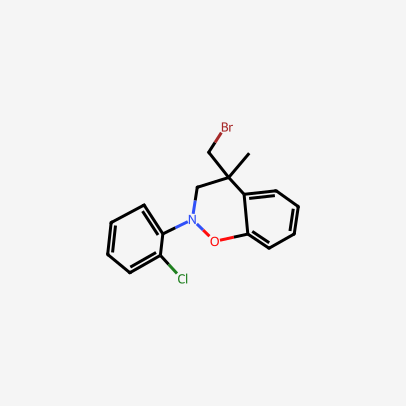 CC1(CBr)CN(c2ccccc2Cl)Oc2ccccc21